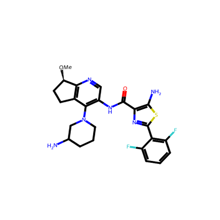 CO[C@@H]1CCc2c1ncc(NC(=O)c1nc(-c3c(F)cccc3F)sc1N)c2N1CCCC(N)C1